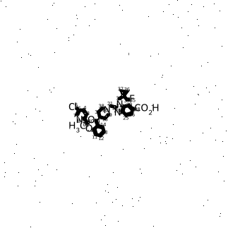 C[C@@]1(c2ccc(Cl)cn2)Oc2ccccc2[C@H](C2CCN(Cc3nc4ccc(C(=O)O)cc4n3CC3(CF)CC3)CC2)O1